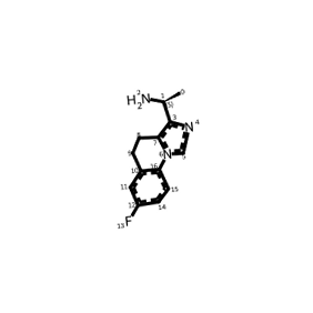 C[C@H](N)c1ncn2c1CCc1cc(F)ccc1-2